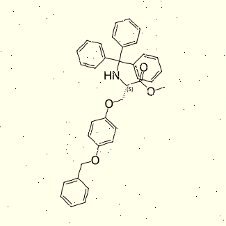 COC(=O)[C@H](COc1ccc(OCc2ccccc2)cc1)NC(c1ccccc1)(c1ccccc1)c1ccccc1